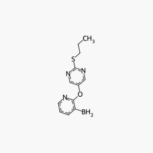 Bc1cccnc1Oc1cnc(SCCC)nc1